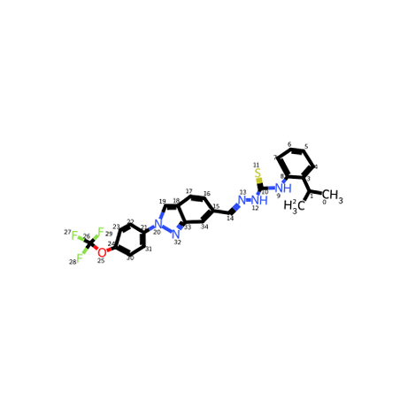 CC(C)c1ccccc1NC(=S)N/N=C/c1ccc2cn(-c3ccc(OC(F)(F)F)cc3)nc2c1